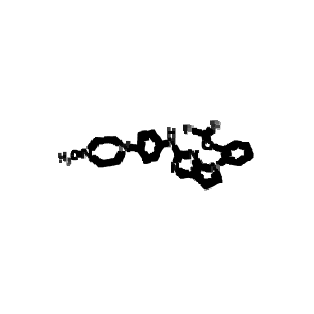 CN1CCN(c2ccc(Nc3ncc4ccn(-c5ccccc5OC(F)F)c4n3)cc2)CC1